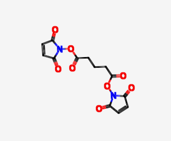 O=C(CCCC(=O)ON1C(=O)C=CC1=O)ON1C(=O)C=CC1=O